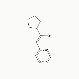 SC(=Cc1ccccc1)C1CCCC1